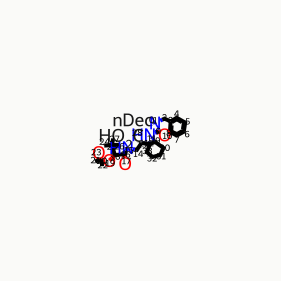 CCCCCCCCCCN(Cc1ccccc1)C(=O)NC1(C(CNC(=O)C2OC(C)(C)OCC2(C)C)C(=O)O)CCCCC1